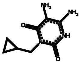 Nc1[nH]c(=O)n(CC2CC2)c(=O)c1N